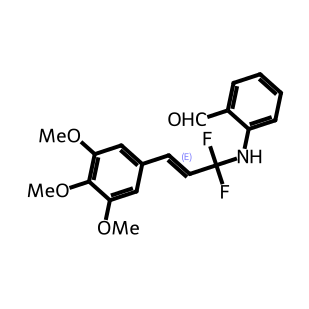 COc1cc(/C=C/C(F)(F)Nc2ccccc2C=O)cc(OC)c1OC